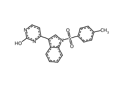 Cc1ccc(S(=O)(=O)n2cc(-c3ccnc(O)n3)c3ccccc32)cc1